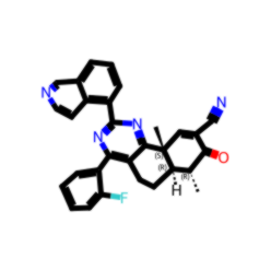 C[C@H]1C(=O)C(C#N)=C[C@@]2(C)c3nc(-c4cccc5cnccc45)nc(-c4ccccc4F)c3CC[C@H]12